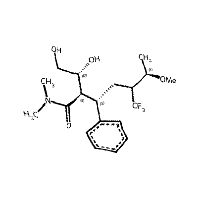 CO[C@H](C)C(C[C@H](c1ccccc1)[C@@H](C(=O)N(C)C)[C@@H](O)CO)C(F)(F)F